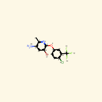 Cc1nc(Oc2ccc(Cl)c(C(F)(F)F)c2)c(Br)cc1N